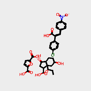 CCC(=O)C12CC(O)CCC1C(=O)CC2C(=O)O.O=C(O)C(=Cc1ccc([N+](=O)[O-])cc1)c1ccc(Cl)cc1.O=C(O)c1ccc(C(=O)O)o1